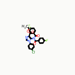 CCOC(=O)c1ncn(-c2ccc(Cl)cc2)c1N(C(=O)c1ccc(F)cc1)C(=O)c1ccc(F)cc1